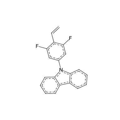 C=Cc1c(F)cc(-n2c3ccccc3c3ccccc32)cc1F